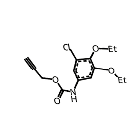 C#CCOC(=O)Nc1cc(Cl)c(OCC)c(OCC)c1